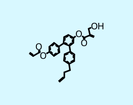 C=CCCc1ccc(-c2cc(OC(=O)C(=C)CO)ccc2-c2ccc(OC(=O)C=C)cc2)cc1